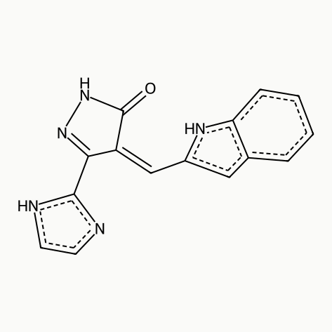 O=C1NN=C(c2ncc[nH]2)C1=Cc1cc2ccccc2[nH]1